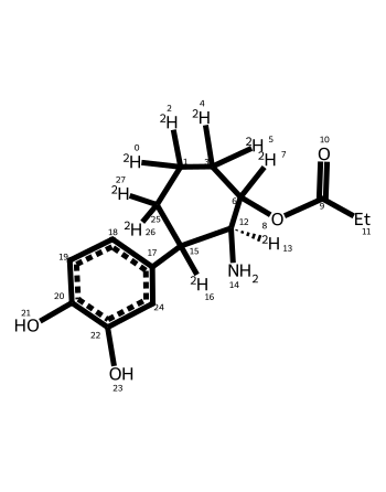 [2H]C1([2H])C([2H])([2H])C([2H])(OC(=O)CC)[C@@]([2H])(N)C([2H])(c2ccc(O)c(O)c2)C1([2H])[2H]